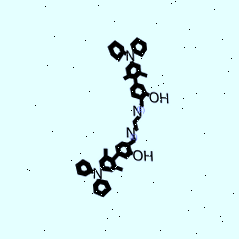 Cc1cc(N(c2ccccc2)c2ccccc2)cc(C)c1-c1ccc(/C=N/CCC/N=C/c2ccc(-c3c(C)cc(N(c4ccccc4)c4ccccc4)cc3C)cc2O)c(O)c1